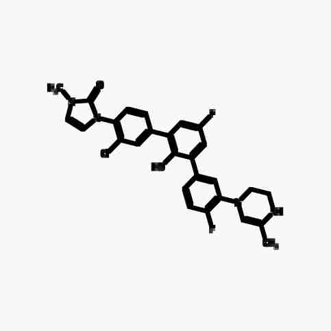 CC1=CN(c2cc(-c3cc(F)cc(-c4ccc(-n5ccn(C)c5=O)c(Cl)c4)c3O)ccc2F)CCN1